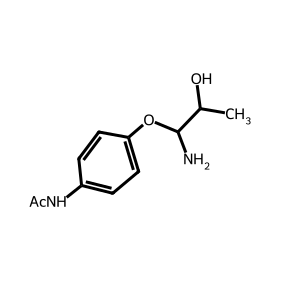 CC(=O)Nc1ccc(OC(N)C(C)O)cc1